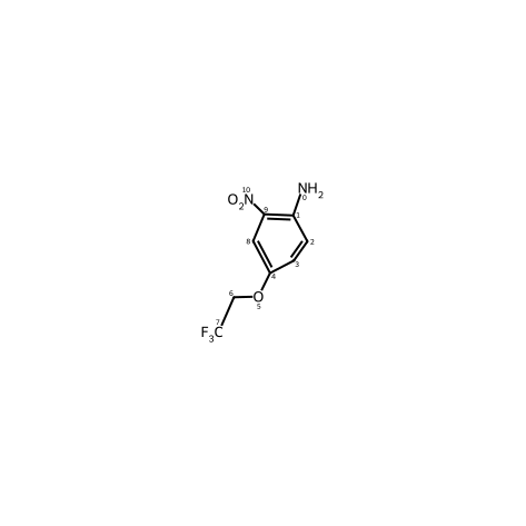 Nc1ccc(OCC(F)(F)F)cc1[N+](=O)[O-]